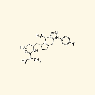 CCC(C[C@H]1CCC2=C1[C@@H](C)c1cnn(-c3ccc(F)cc3)c1C2)NC(=O)N(C)C